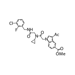 COC(=O)c1ccc2c(c1)c(C(C)=O)cn2CC(=O)N(CC(=O)NCc1cccc(Cl)c1F)C1CC1